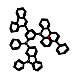 c1ccc(-c2ccc(-c3ccccc3N(c3ccccc3)c3cc(-c4cc5ccccc5c5ccccc45)cc(N(c4ccccc4)c4ccc5c6ccccc6n(-c6ccccc6)c5c4)c3)cc2)cc1